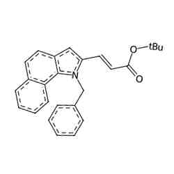 CC(C)(C)OC(=O)C=Cc1cc2ccc3ccccc3c2n1Cc1ccccc1